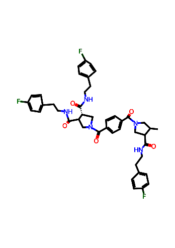 CC1CN(C(=O)c2ccc(C(=O)N3CC(C(=O)NCCc4ccc(F)cc4)[C@H](C(=O)NCCc4ccc(F)cc4)C3)cc2)CC1C(=O)NCCc1ccc(F)cc1